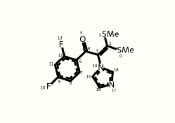 CSC(SC)=C(C(=O)c1ccc(F)cc1F)n1ccnc1